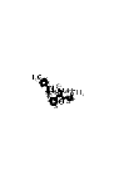 Cc1ccc(C2CSC(N3C(=O)C(O)=C(C(=O)c4ccc(C)o4)C3c3ccccc3F)=N2)cc1